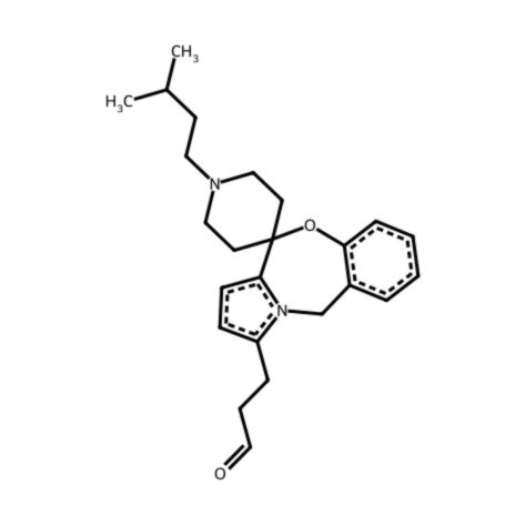 CC(C)CCN1CCC2(CC1)Oc1ccccc1Cn1c(CCC=O)ccc12